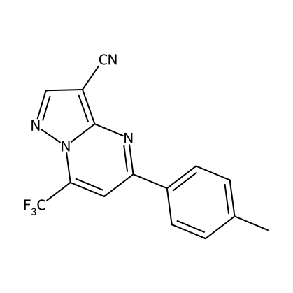 Cc1ccc(-c2cc(C(F)(F)F)n3ncc(C#N)c3n2)cc1